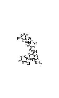 Bc1cnn2c(NCC3CCCN(S(=O)(=O)c4cccc(F)c4)C3)cc(-c3ccccc3Cl)nc12